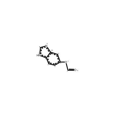 O=COc1ccc2[nH]cnc2c1